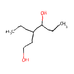 CCC(O)C(CC)CCO